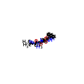 C=N/C(C)=C\N=C(/C)C(=O)NCC(=O)n1cc(S(=O)(=O)NC(=O)Nc2c3c(cc4c2CCC4)CCC3)cn1